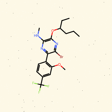 CCCC(CC)Oc1nc(Br)c(-c2ccc(C(F)(F)F)cc2OC)nc1NC